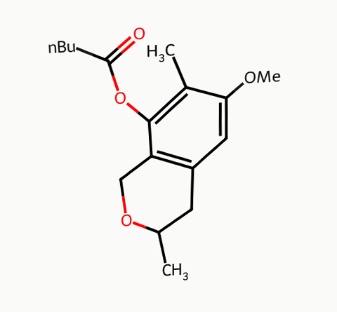 CCCCC(=O)Oc1c(C)c(OC)cc2c1COC(C)C2